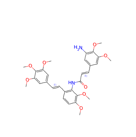 COc1cc(/C=C/C(=O)Nc2c(/C=C/c3cc(OC)c(OC)c(OC)c3)ccc(OC)c2OC)cc(N)c1OC